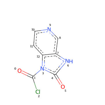 O=C(Cl)n1c(=O)[nH]c2cnccc21